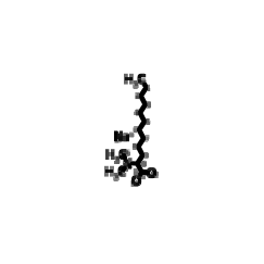 CCCCCCCCCCC(C(=O)[O-])N(C)C.[Na+]